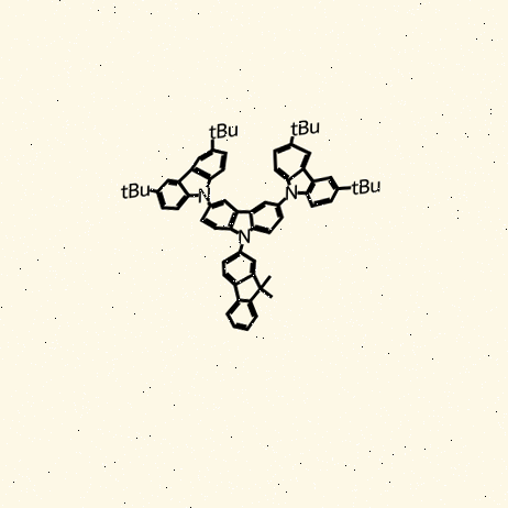 CC(C)(C)c1ccc2c(c1)c1cc(C(C)(C)C)ccc1n2-c1ccc2c(c1)c1cc(-n3c4ccc(C(C)(C)C)cc4c4cc(C(C)(C)C)ccc43)ccc1n2-c1ccc2c(c1)C(C)(C)c1ccccc1-2